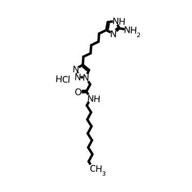 CCCCCCCCCCNC(=O)Cn1cc(CCCCCc2c[nH]c(N)n2)nn1.Cl